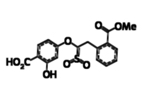 COC(=O)c1ccccc1CC(Oc1ccc(C(=O)O)c(O)c1)=S(=O)=O